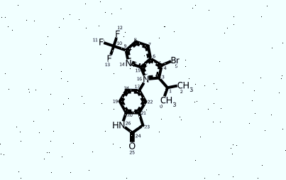 CC(C)c1c(Br)c2ccc(C(F)(F)F)nc2n1-c1ccc2c(c1)CC(=O)N2